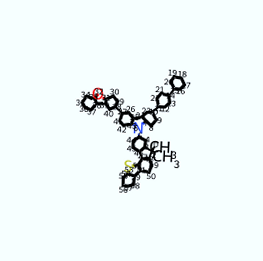 CC1(C)c2cc(-n3c4ccc(-c5ccc(-c6ccccc6)cc5)cc4c4cc(-c5ccc6oc7ccccc7c6c5)ccc43)ccc2-c2c1ccc1c2sc2ccccc21